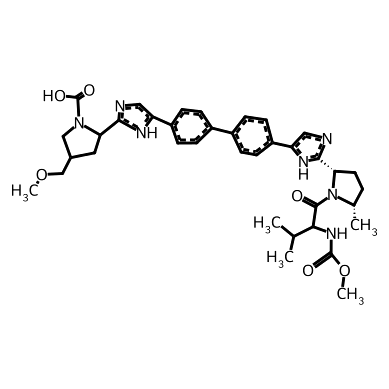 COCC1CC(c2ncc(-c3ccc(-c4ccc(-c5cnc([C@@H]6CC[C@H](C)N6C(=O)C(NC(=O)OC)C(C)C)[nH]5)cc4)cc3)[nH]2)N(C(=O)O)C1